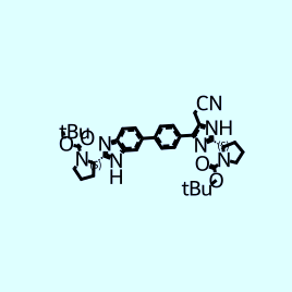 CC(C)(C)OC(=O)N1CCC[C@H]1c1nc(-c2ccc(-c3ccc4nc([C@@H]5CCCN5C(=O)OC(C)(C)C)[nH]c4c3)cc2)c(CC#N)[nH]1